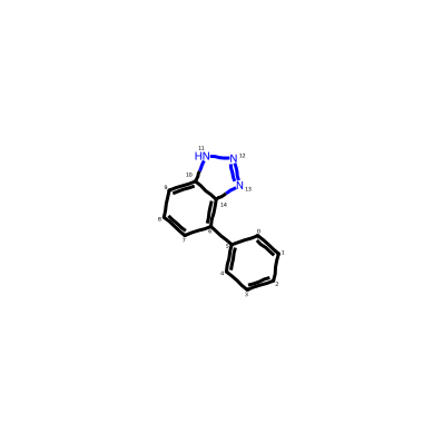 [c]1ccccc1-c1cccc2[nH]nnc12